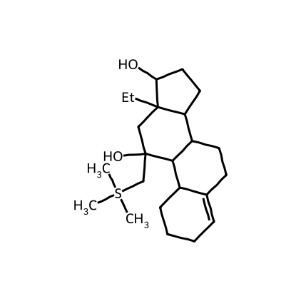 CCC12CC(O)(CS(C)(C)C)C3C4CCCC=C4CCC3C1CCC2O